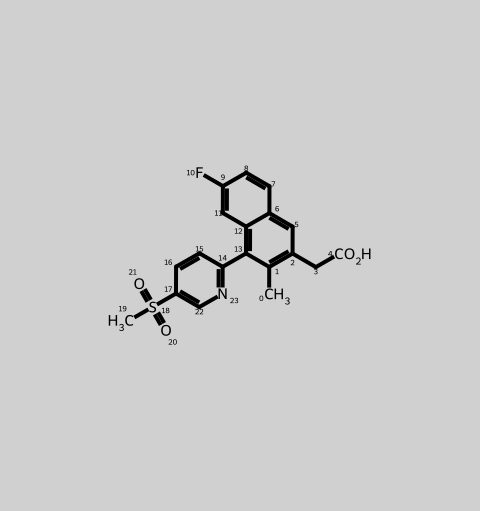 Cc1c(CC(=O)O)cc2ccc(F)cc2c1-c1ccc(S(C)(=O)=O)cn1